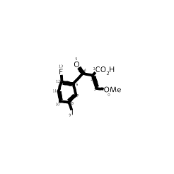 COC=C(C(=O)O)C(=O)c1cc(I)ccc1F